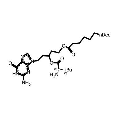 CCCCCCCCCCCCCCCC(=O)OCCC(CCn1cnc2c(=O)[nH]c(N)nc21)OC(=O)[C@@H](N)[C@@H](C)CC